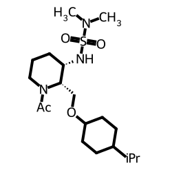 CC(=O)N1CCC[C@H](NS(=O)(=O)N(C)C)[C@@H]1COC1CCC(C(C)C)CC1